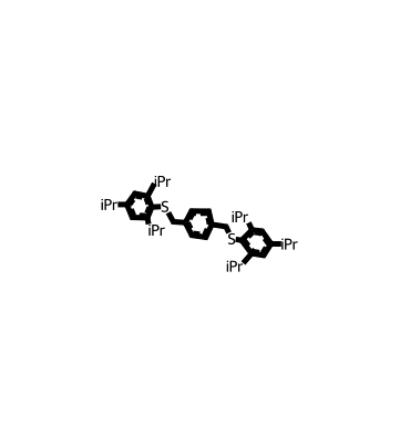 CC(C)c1cc(C(C)C)c(SCc2ccc(CSc3c(C(C)C)cc(C(C)C)cc3C(C)C)cc2)c(C(C)C)c1